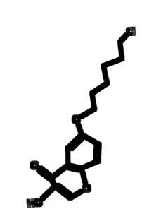 O=c1c(O)coc2ccc(OCCCCCCCl)cc12